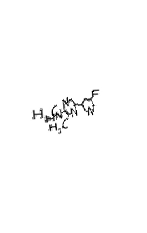 CNc1ncc(-c2cncc(F)c2)nc1C